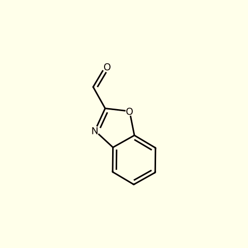 O=Cc1nc2ccccc2o1